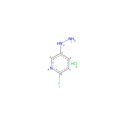 Cl.NNc1ccc(F)nc1